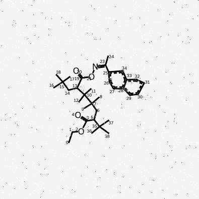 CCOC(=O)C(CC(C)(C)C(C)(C)C(CC(C)(C)C)C(=O)O/N=C(/C)c1ccc2ccccc2c1)C(C)(C)C